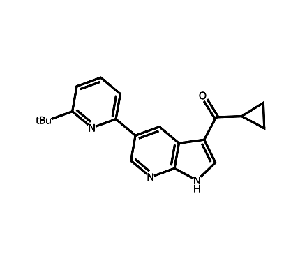 CC(C)(C)c1cccc(-c2cnc3[nH]cc(C(=O)C4CC4)c3c2)n1